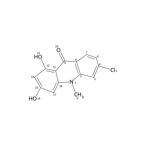 Cn1c2cc(Cl)ccc2c(=O)c2c(O)cc(O)cc21